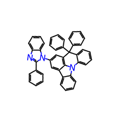 c1ccc(-c2nc3ccccc3n2-c2cc3c4c(c2)c2ccccc2n4-c2ccccc2C3(c2ccccc2)c2ccccc2)cc1